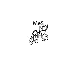 CSc1ncc2c(n1)N(c1cccc(N3C(=O)OC[C@@H]3C)n1)[C@@H]1CC(C)(C)OC[C@]21C